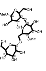 CO[C@@H]1OC(CO)[C@@H](O[C@@H]2OC(CO[C@H]3OC(CO)[C@H](O)[C@H](O)C3O)[C@@H](OC)[C@H](O)C2O)[C@H](O)C1O